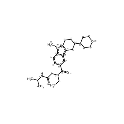 CCN(CC(=O)NC(C)C)C(=O)c1ccc2c(c1)c1c(n2C)CCC(C2CCOCC2)C1